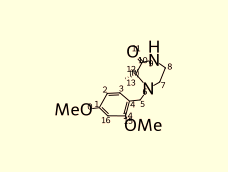 COc1ccc(CN2CCNC(=O)[C@H]2C)c(OC)c1